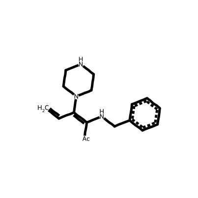 C=C/C(=C(/NCc1ccccc1)C(C)=O)N1CCNCC1